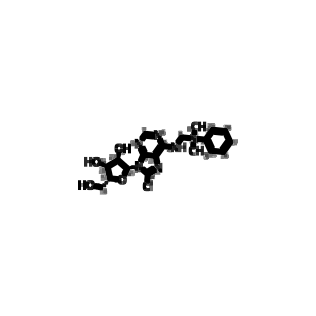 C[Si](C)(CNc1ncnc2c1nc(Cl)n2[C@@H]1O[C@H](CO)[C@@H](O)[C@H]1O)c1ccccc1